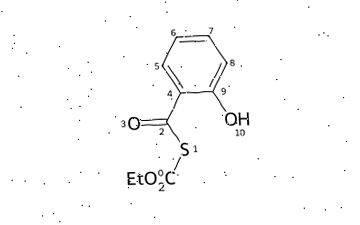 CCOC(=O)SC(=O)c1ccccc1O